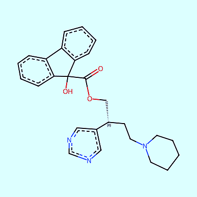 O=C(OC[C@H](CCN1CCCCC1)c1cncnc1)C1(O)c2ccccc2-c2ccccc21